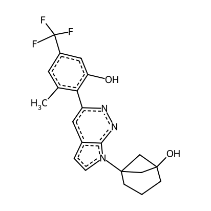 Cc1cc(C(F)(F)F)cc(O)c1-c1cc2ccn(C34CCCC(O)(C3)C4)c2nn1